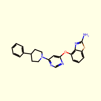 Nc1nc2c(Oc3cc(N4CCC(c5ccccc5)CC4)ncn3)cccc2s1